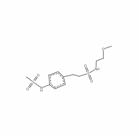 COCCNS(=O)(=O)CCc1ccc(NS(C)(=O)=O)cc1